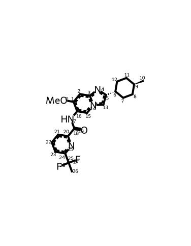 COc1cc2nc([C@H]3CC[C@H](C)CC3)cn2cc1NC(=O)c1cccc(C(C)(F)F)n1